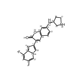 Cc1cc(F)c2nc(-c3cc4ccc(N[C@H]5CCNC5)cc4oc3=O)cn2c1